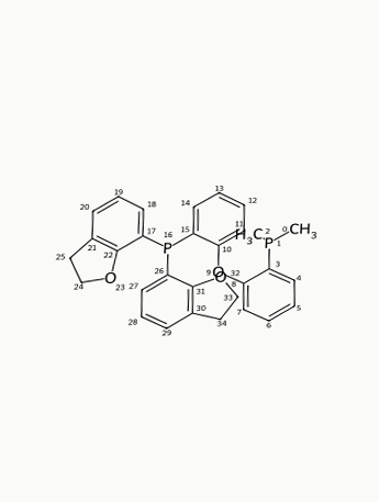 CP(C)c1ccccc1Oc1ccccc1P(c1cccc2c1OCC2)c1cccc2c1OCC2